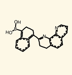 OB(O)C1=c2ccccc2=C(C2=Nc3c(ccc4cccnc34)CC2)CC1